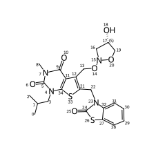 CC(C)Cn1c(=O)n(C)c(=O)c2c(CON3C[C@H](O)CO3)c(Cn3c(=O)sc4ccccc43)sc21